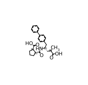 C[C@H](C[C@@H](Cc1ccc(-c2ccccc2)cc1)NC(=O)[C@H]1CCC[C@H]1C(=O)O)C(=O)O